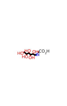 O=C(O)C/N=C\C(O)C(O)C(O)C(O)CO